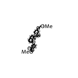 COCCOc1ccn2c(-c3ccc4cccc(OC5CCN(C(=O)OOC)C5)c4n3)cnc2c1